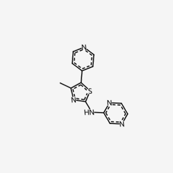 Cc1nc(Nc2cnccn2)sc1-c1ccncc1